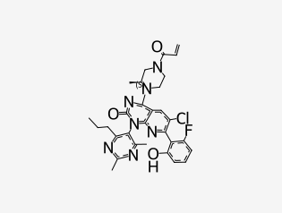 C=CC(=O)N1CCN(c2nc(=O)n(-c3c(C)nc(C)nc3CCC)c3nc(-c4c(O)cccc4F)c(Cl)cc23)[C@@H](C)C1